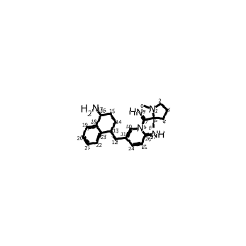 CN1CCC[C@]1(C)C(=N)n1cc(CC2CCC(N)c3ccccc32)ccc1=N